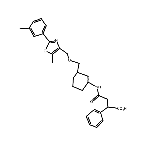 Cc1cccc(-c2nc(COCC3CCCC(NC(=O)CC(C(=O)O)c4ccccc4)C3)c(C)o2)c1